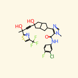 Cn1cnc(C2CC3CC(O)(C#CC(C)(O)c4nc(C(F)(F)F)cs4)CC3C2)c1C(=O)Nc1ccc(F)c(Cl)c1